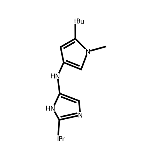 CC(C)c1ncc(Nc2cc(C(C)(C)C)n(C)c2)[nH]1